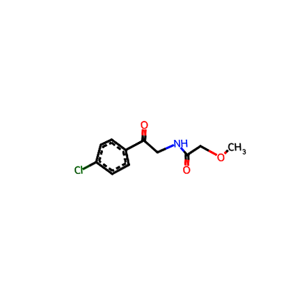 COCC(=O)NCC(=O)c1ccc(Cl)cc1